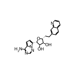 Nc1ncnn2c([C@@H]3O[C@H](CCc4ccc5cccnc5c4)[C@@H](O)[C@H]3O)ccc12